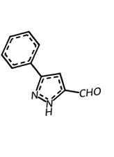 O=Cc1cc(-c2ccccc2)n[nH]1